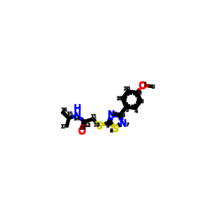 COc1ccc(-c2nsc(SCC(=O)NC(C)C)n2)cc1